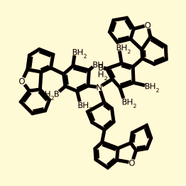 Bc1c(B)c(N(c2ccc(-c3cccc4oc5ccccc5c34)cc2)c2c(B)c(B)c(-c3cccc4oc5ccccc5c34)c(B)c2B)c(B)c(B)c1-c1cccc2oc3ccccc3c12